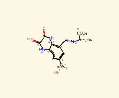 Br.CC(C)(C)[C@H](NCc1cc([N+](=O)[O-])cc2[nH]c(=O)c(=O)[nH]c12)C(=O)O